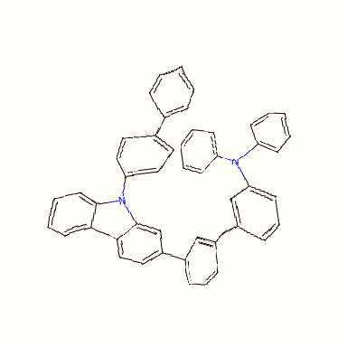 c1ccc(-c2ccc(-n3c4ccccc4c4ccc(-c5cccc(-c6cccc(N(c7ccccc7)c7ccccc7)c6)c5)cc43)cc2)cc1